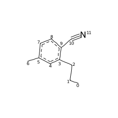 CCCc1cc(C)ccc1C#N